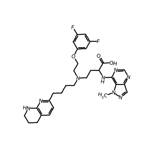 Cn1ncc2ncnc(NC(CCN(CCCCc3ccc4c(n3)NCCC4)CCOc3cc(F)cc(F)c3)C(=O)O)c21